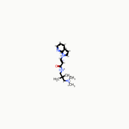 CN(C)CC(C)(C)CNC(=O)/C=C/n1ccc2cccnc21